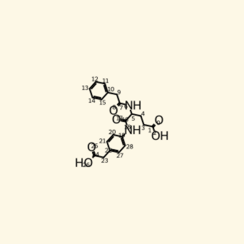 O=C(O)CCC(NC(=O)Cc1ccccc1)C(=O)Nc1ccc(CC(=O)O)cc1